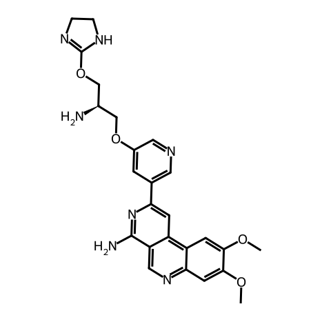 COc1cc2ncc3c(N)nc(-c4cncc(OC[C@@H](N)COC5=NCCN5)c4)cc3c2cc1OC